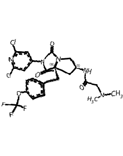 CN(C)CC(=O)N[C@@H]1CN2C(=O)N(c3cc(Cl)nc(Cl)c3)C(=O)[C@@]2(Cc2ccc(OC(F)(F)F)cc2)C1